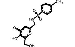 Cc1ccc(S(=O)(=O)NCc2cc(=O)c(O)c(CO)o2)cc1